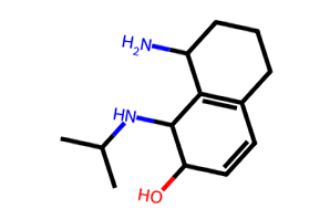 CC(C)NC1C2=C(C=CC1O)CCCC2N